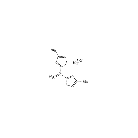 Cl.Cl.[CH2]=[Zr]([C]1=CC(C(C)(C)C)=CC1)[C]1=CC(C(C)(C)C)=CC1